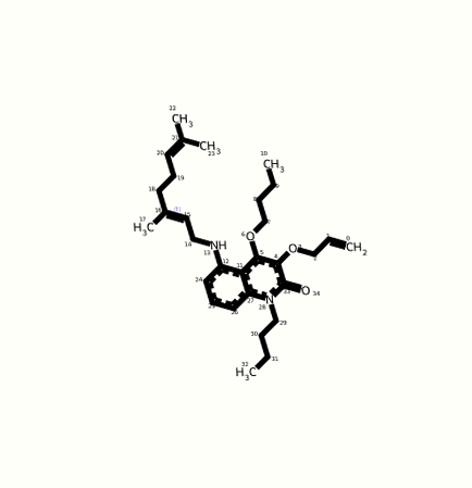 C=CCOc1c(OCCCC)c2c(NC/C=C(\C)CCC=C(C)C)cccc2n(CCCC)c1=O